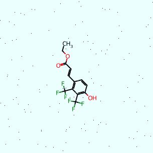 CCOC(=O)C=Cc1ccc(O)c(C(F)(F)F)c1C(F)(F)F